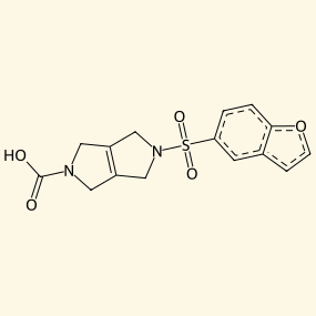 O=C(O)N1CC2=C(C1)CN(S(=O)(=O)c1ccc3occc3c1)C2